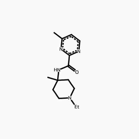 CCN1CCC(C)(NC(=O)c2nccc(C)n2)CC1